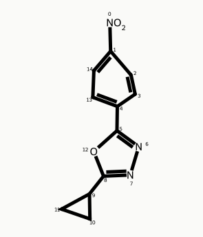 O=[N+]([O-])c1ccc(-c2nnc(C3CC3)o2)cc1